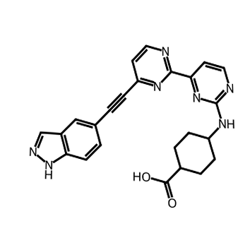 O=C(O)C1CCC(Nc2nccc(-c3nccc(C#Cc4ccc5[nH]ncc5c4)n3)n2)CC1